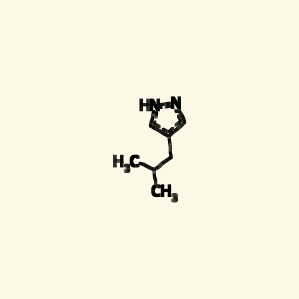 CC(C)Cc1cn[nH]c1